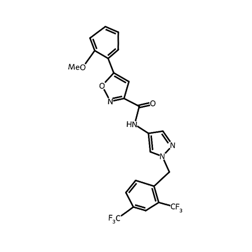 COc1ccccc1-c1cc(C(=O)Nc2cnn(Cc3ccc(C(F)(F)F)cc3C(F)(F)F)c2)no1